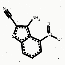 N#Cc1sc2cccc([N+](=O)[O-])c2c1N